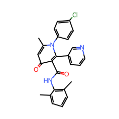 Cc1cccc(C)c1NC(=O)c1c(-c2cccnc2)n(-c2ccc(Cl)cc2)c(C)cc1=O